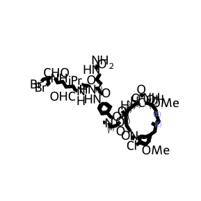 COc1cc2cc(c1Cl)N(C)C(=O)C[C@H](OC(=O)[C@H](C)N(C)C(=O)c1ccc(NC(=O)[C@H](CCCNC(N)=O)NC(=O)[C@@H](NC(C=O)CCCCNC(C=O)(CBr)CBr)C(C)C)cc1)[C@]1(C)O[C@H]1[C@H](C)[C@@H]1C[C@@](O)(NC(=O)O1)[C@H](OC)/C=C/C=C(\C)C2